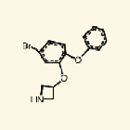 Brc1ccc(Oc2ccccc2)c(OC2CNC2)c1